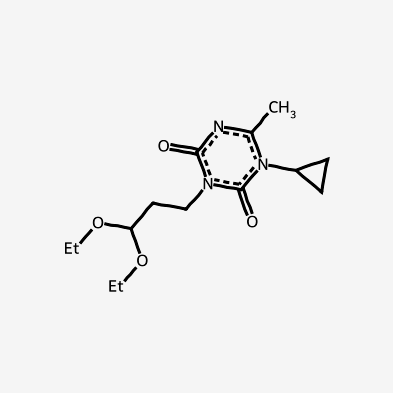 CCOC(CCn1c(=O)nc(C)n(C2CC2)c1=O)OCC